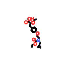 CCOC(=O)N(CCOc1ccc(CC(OCC)C(=O)O)cc1)CC1CC1